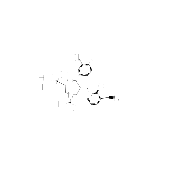 CC(C)(C)C1CN(C(=O)O)C[C@@H](Cn2cccc(C#N)c2=O)[C@H](c2ccc(Cl)c(Cl)c2)O1